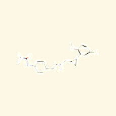 COc1ccc(Cl)cc1C1CC1CNCCC1CCC(NC(=O)N(C)C)CC1